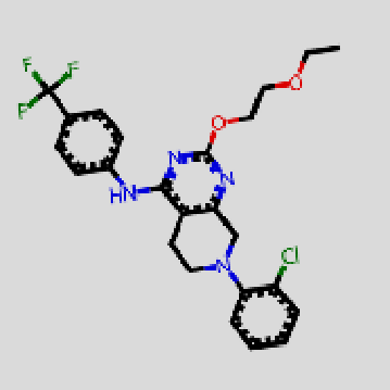 CCOCCOc1nc2c(c(Nc3ccc(C(F)(F)F)cc3)n1)CCN(c1ccccc1Cl)C2